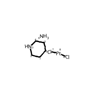 C1CCNCC1.N.[Cl][Pt][Cl]